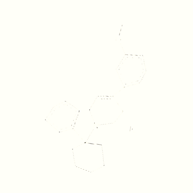 COc1cccc(C2=CCN(C3(c4ccccc4)CCCCC3)CC2)c1.Cl